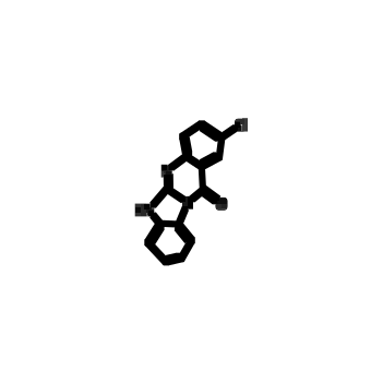 O=c1c2cc(Cl)ccc2nc2[nH]c3ccccc3n12